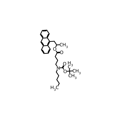 CCCCCN(CCCC(=O)OC(C)Cc1c2ccccc2cc2ccccc12)C(=O)OC(C)(C)C